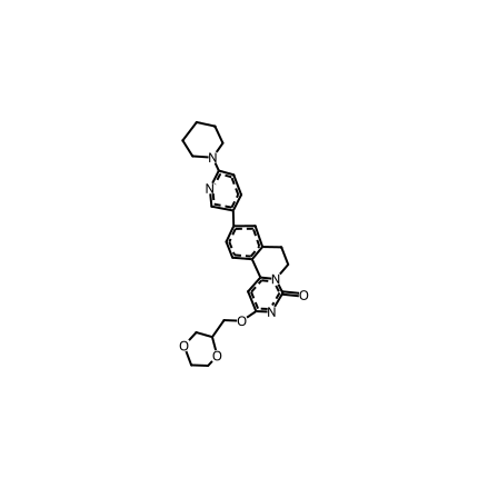 O=c1nc(OCC2COCCO2)cc2n1CCc1cc(-c3ccc(N4CCCCC4)nc3)ccc1-2